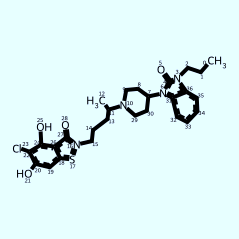 CCCn1c(=O)n(C2CCN(C(C)CCCn3sc4cc(O)c(Cl)c(O)c4c3=O)CC2)c2ccccc21